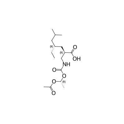 CC[C@H](CC(C)C)C[C@H](CNC(=O)O[C@H](C)OC(C)=O)C(=O)O